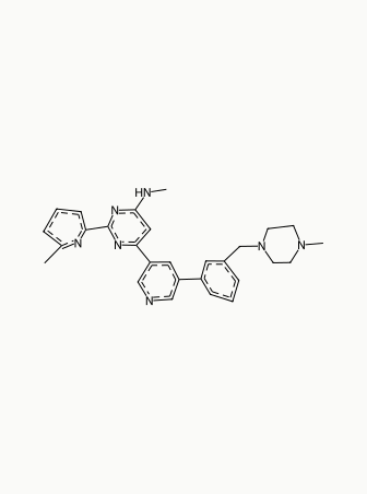 CNc1cc(-c2cncc(-c3cccc(CN4CCN(C)CC4)c3)c2)nc(-c2cccc(C)n2)n1